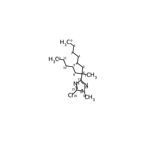 CCCCCCC(C)(CCCCC)c1nc(Cl)n(C)n1